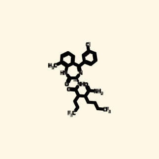 Cc1cccc2c1NC(=O)[C@@H](NC(=O)C(CCC(F)(F)F)C(CCCC(F)(F)F)C(N)=O)N=C2c1cccc(Cl)c1